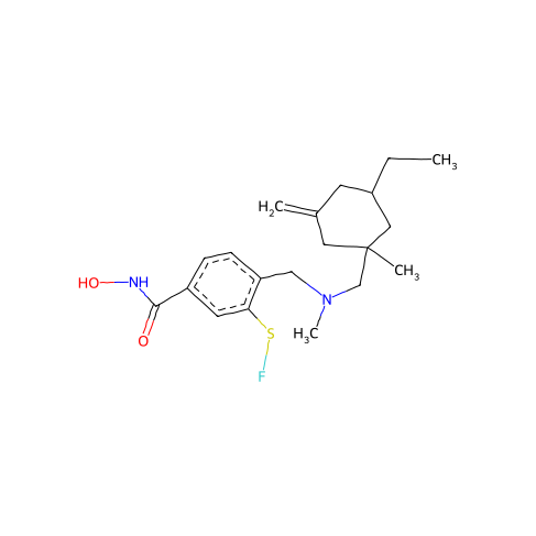 C=C1CC(CC)CC(C)(CN(C)Cc2ccc(C(=O)NO)cc2SF)C1